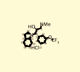 CNC[C@@H](O)[C@H](c1cccc(OC(F)(F)F)c1)n1ccc2ccccc21.Cl